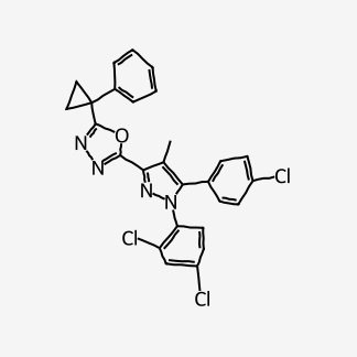 Cc1c(-c2nnc(C3(c4ccccc4)CC3)o2)nn(-c2ccc(Cl)cc2Cl)c1-c1ccc(Cl)cc1